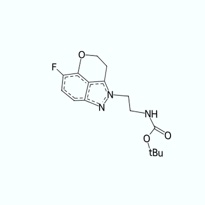 CC(C)(C)OC(=O)NCCn1nc2ccc(F)c3c2c1CCO3